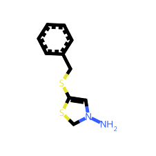 NN1C=C(SCc2ccccc2)SC1